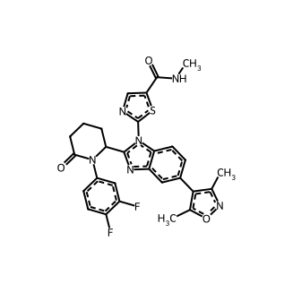 CNC(=O)c1cnc(-n2c(C3CCCC(=O)N3c3ccc(F)c(F)c3)nc3cc(-c4c(C)noc4C)ccc32)s1